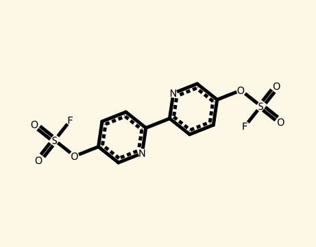 O=S(=O)(F)Oc1ccc(-c2ccc(OS(=O)(=O)F)cn2)nc1